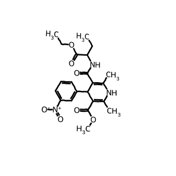 CCOC(=O)C(CC)NC(=O)C1=C(C)NC(C)=C(C(=O)OC)C1c1cccc([N+](=O)[O-])c1